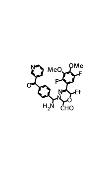 CCC1OC(C=O)N(C(N)c2ccc(C(=O)c3cccnc3)cc2)N=C1c1cc(F)c(OC)c(OC)c1F